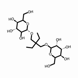 CCC(CC)(COC1OC(CO)[C@H](O)[C@@H](O)[C@H]1O)CO[C@H]1OC(CO)[C@H](O)[C@@H](O)C1O